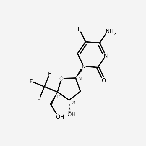 Nc1nc(=O)n([C@H]2C[C@H](O)[C@](CO)(C(F)(F)F)O2)cc1F